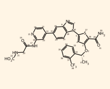 C[C@@H](Oc1cc(-n2cnc3cc(-c4ccnc(NC(=O)CNC(=O)O)c4)ccc32)sc1C(N)=O)c1ccccc1C(F)(F)F